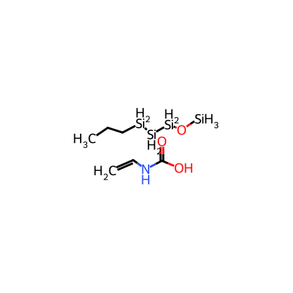 C=CNC(=O)O.CCC[SiH2][SiH2][SiH2]O[SiH3]